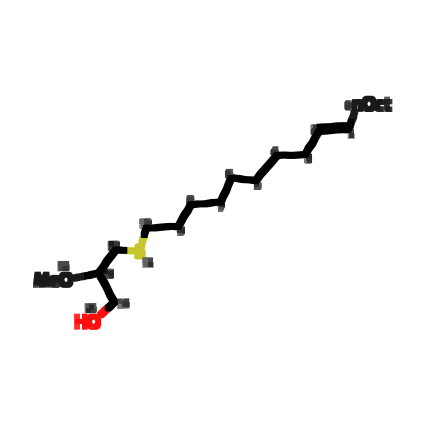 CCCCCCCCC=CCCCCCCCCSCC(CO)OC